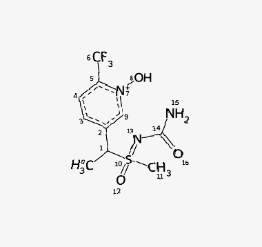 CC(c1ccc(C(F)(F)F)[n+](O)c1)S(C)(=O)=NC(N)=O